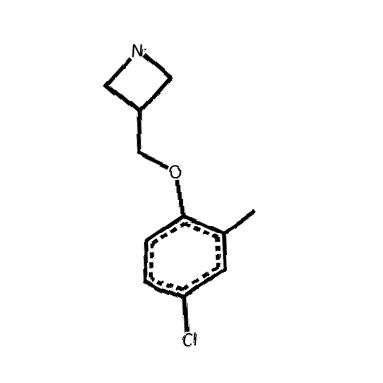 Cc1cc(Cl)ccc1OCC1C[N]C1